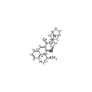 CC(C)n1c(=O)c(C(=O)OC2CC3CCC(C2)N3CCC#N)cc2ccccc21